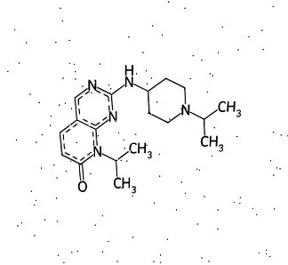 CC(C)N1CCC(Nc2ncc3ccc(=O)n(C(C)C)c3n2)CC1